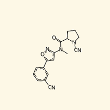 CN(C(=O)C1CCCN1C#N)c1cc(-c2cccc(C#N)c2)on1